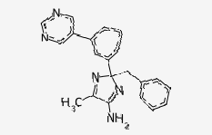 CC1=NC(Cc2ccccc2)(c2cccc(-c3cncnc3)c2)N=C1N